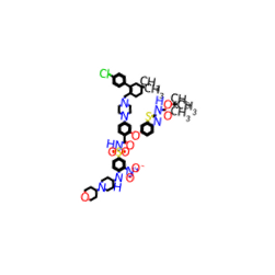 CC1(C)CCC(CN2CCN(c3ccc(C(=O)NS(=O)(=O)c4ccc(NC5CCN(C6CCOCC6)CC5)c([N+](=O)[O-])c4)c(Oc4ccc5nc(NC(=O)OC(C)(C)C)sc5c4)c3)CC2)=C(c2ccc(Cl)cc2)C1